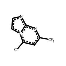 FC(F)(F)c1cc(Cl)n2ccnc2n1